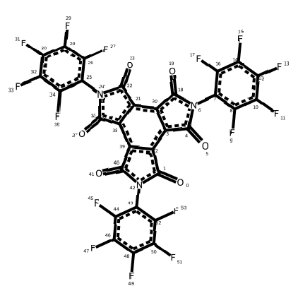 O=c1c2c3c(=O)n(-c4c(F)c(F)c(F)c(F)c4F)c(=O)c3c3c(=O)n(-c4c(F)c(F)c(F)c(F)c4F)c(=O)c3c2c(=O)n1-c1c(F)c(F)c(F)c(F)c1F